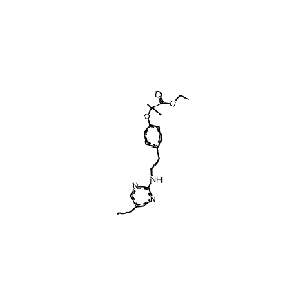 CCOC(=O)C(C)(C)Oc1ccc(CCNc2ncc(CC)cn2)cc1